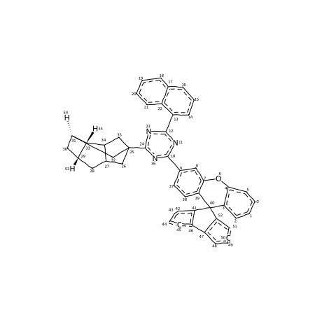 c1ccc2c(c1)Oc1cc(-c3nc(-c4cccc5ccccc45)nc(C45CC6C[C@@H]7C[C@@H](C4)[C@@H]7C6C5)n3)ccc1C21c2ccccc2-c2ccccc21